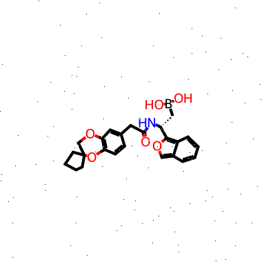 O=C(Cc1ccc2c(c1)OCC1(CCCC1)O2)N[C@H](CB(O)O)c1occ2ccccc12